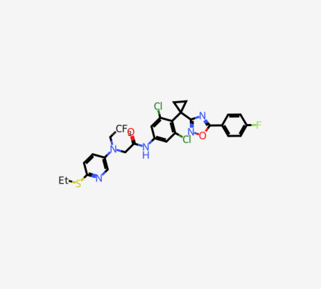 CCSc1ccc(N(CC(=O)Nc2cc(Cl)c(C3(c4noc(-c5ccc(F)cc5)n4)CC3)c(Cl)c2)CC(F)(F)F)cn1